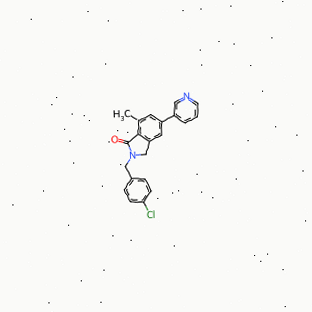 Cc1cc(-c2cccnc2)cc2c1C(=O)N(Cc1ccc(Cl)cc1)C2